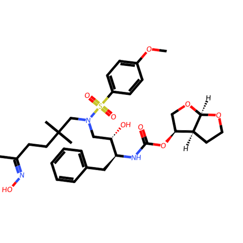 COc1ccc(S(=O)(=O)N(C[C@H](O)[C@H](Cc2ccccc2)NC(=O)O[C@H]2CO[C@H]3OCC[C@H]32)CC(C)(C)CCC(C)=NO)cc1